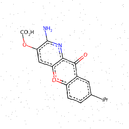 CC(C)c1ccc2oc3cc(OC(=O)O)c(N)nc3c(=O)c2c1